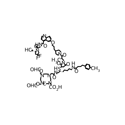 C#C[C@H]1CC(F)(F)CN1C(=O)CNC(=O)c1ccnc2ccc(OCCCC3CCN(C(=O)[C@H](C)CN4C(=O)CC(S[C@H](CCCCCNC(=O)CCCc5ccc(C)cc5)CNC(=O)CN5CCN(COC=O)CCN(COC=O)CCN(CC(=O)O)CC5)C4=O)CC3)cc12